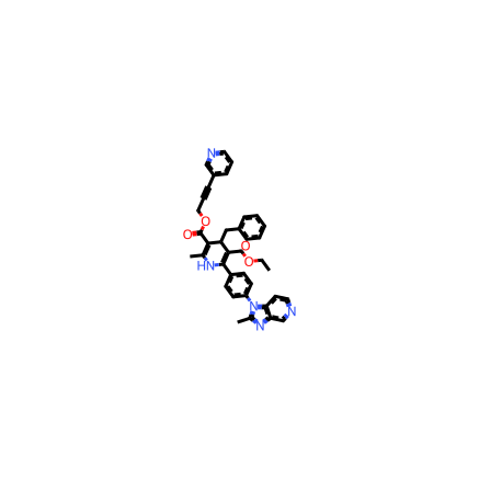 CCOC(=O)C1=C(c2ccc(-n3c(C)nc4cnccc43)cc2)NC(C)=C(C(=O)OCC#Cc2cccnc2)C1Cc1ccccc1